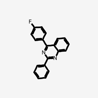 Fc1ccc(-c2nc(-c3ccccc3)nc3ccccc23)cc1